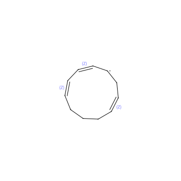 [CH]1/C=C\C=C/CCC/C=C\C1